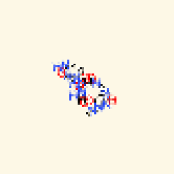 CCn1c(-c2cc(N3CCN(C4CC4)CC3)cnc2[C@H](C)OC)c2c3cc(ccc31)N1CCO[C@@H](C[C@H](NC(=O)[C@H](C3CCCC3)N3CC[C@]4(CCN(C(=O)[C@@H]5N[C@@H]5C5CC5)C4)C3)C(=O)N3CCC[C@H](N3)C(=O)OCC(C)(C)C2)C1